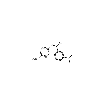 CCC(Oc1ccc(NC(C)=O)nn1)c1cccc(N(C)C)c1